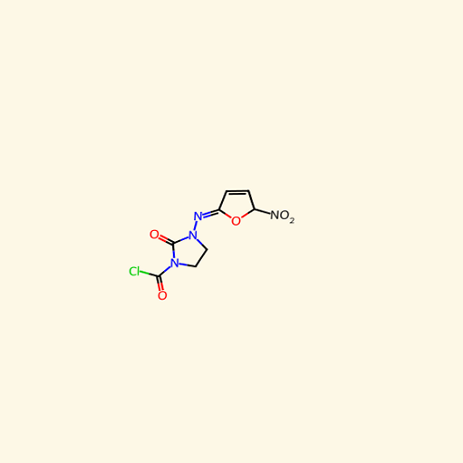 O=C(Cl)N1CCN(N=C2C=CC([N+](=O)[O-])O2)C1=O